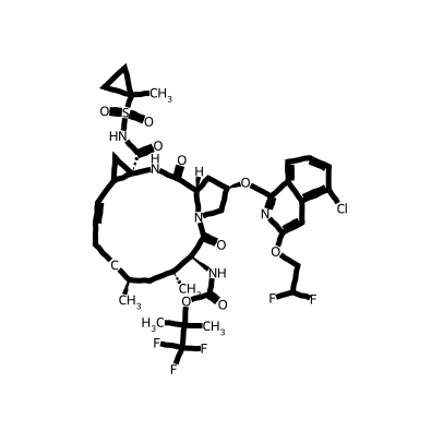 C[C@H]1CC/C=C\C2C[C@@]2(C(=O)NS(=O)(=O)C2(C)CC2)NC(=O)[C@@H]2C[C@@H](Oc3nc(OCC(F)F)cc4c(Cl)cccc34)CN2C(=O)[C@@H](NC(=O)OC(C)(C)C(F)(F)F)[C@H](C)C1